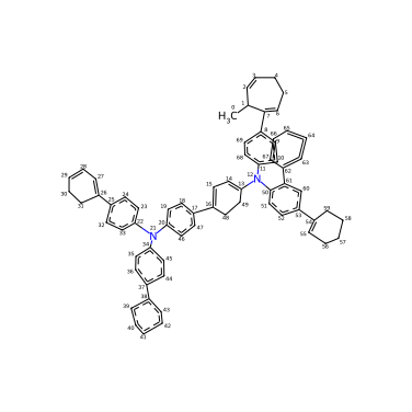 CC1C=CCCC=C1c1ccc(N(C2=CC=C(c3ccc(N(c4ccc(C5=CC=CCC5)cc4)c4ccc(-c5ccccc5)cc4)cc3)CC2)c2ccc(C3=CCCCC3)cc2C2=C=C=CC=C2)cc1